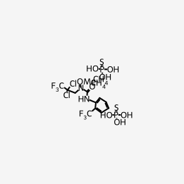 C.C.CON(CC(Cl)(Cl)C(F)(F)F)C(=O)Nc1ccccc1C(F)(F)F.OP(O)(O)=S.OP(O)(O)=S